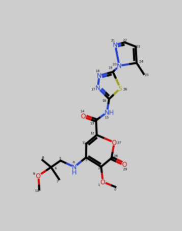 COc1c(NCC(C)(C)OC)cc(C(=O)Nc2nnc(-n3nccc3C)s2)oc1=O